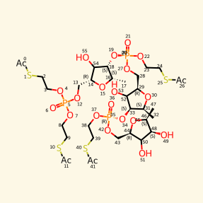 CC(=O)SCCOP(=O)(OCCSC(C)=O)OC[C@H]1O[C@@H](C)[C@@H](O[P@@](=O)(OCCSC(C)=O)OC[C@H]2O[C@@H](C)[C@@H](O[P@@](=O)(OCCSC(C)=O)OC[C@H]3O[C@@H](C)[C@@H](O)C3O)C2O)C1O